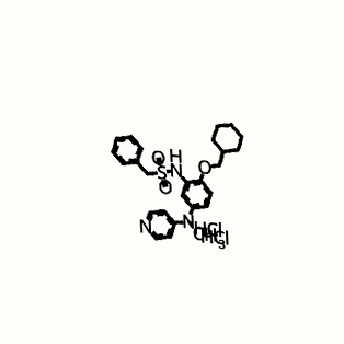 CN(c1ccncc1)c1ccc(OCC2CCCCC2)c(NS(=O)(=O)Cc2ccccc2)c1.Cl.Cl